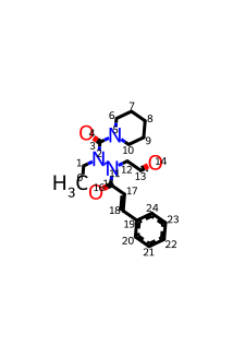 CCN(C(=O)N1CCCCC1)N(C[C]=O)C(=O)C=Cc1ccccc1